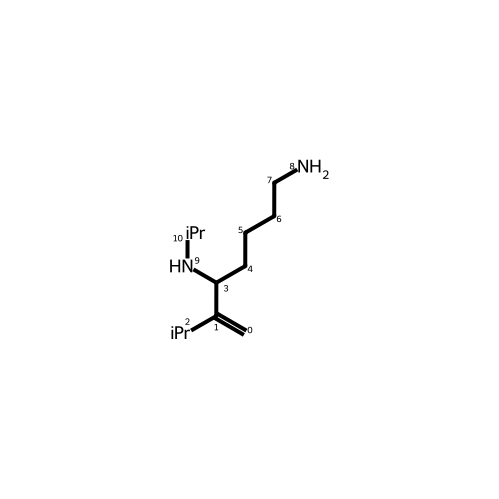 C=C(C(C)C)C(CCCCN)NC(C)C